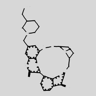 COCC1CCCN(Cc2cc3c4nc(c(=O)[nH]c4c2)-c2cccc4c(=O)n(sc24)CC2CCC(CO3)N2C)C1